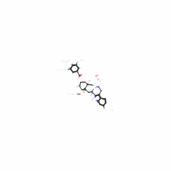 COC(=O)[C@H]1[C@H]2C[C@@H]3c4[nH]c5cc(OC)ccc5c4CCN3C[C@H]2C[C@@H](OC(=O)c2cc(OC)c(OC)c(OC)c2)[C@@H]1OC.OOO